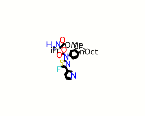 CCCCCCCCc1ccc(N(C(=O)OC(N)(C(=O)OC)C(C)C)c2nc(-c3cccnc3)c(F)s2)cc1C(F)(F)F